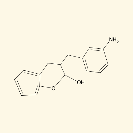 Nc1cccc(CC2Cc3ccccc3OC2O)c1